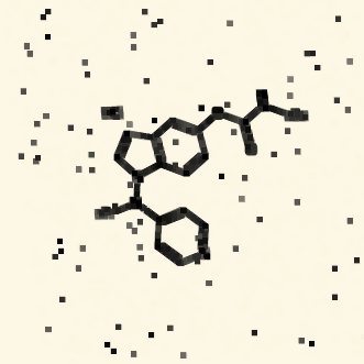 CCCCNC(=O)Oc1ccc2c(ccn2N(CCC)c2ccncc2)c1.Cl